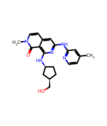 Cc1ccnc(Nc2cc3ccn(C)c(=O)c3c(N[C@H]3CC[C@@H](CO)C3)n2)c1